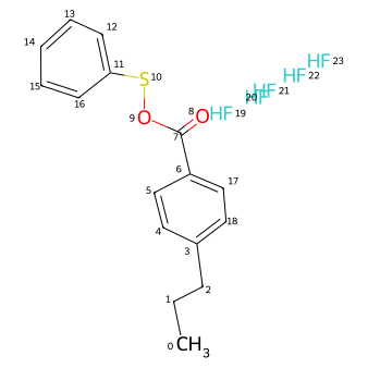 CCCc1ccc(C(=O)OSc2ccccc2)cc1.F.F.F.F.F